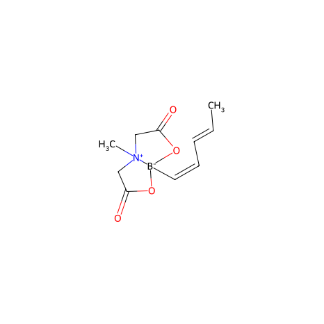 C/C=C/C=C\[B-]12OC(=O)C[N+]1(C)CC(=O)O2